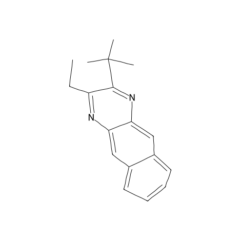 CCc1nc2cc3ccccc3cc2nc1C(C)(C)C